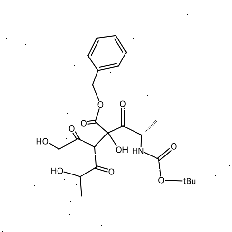 CC(O)C(=O)C(C(=O)CO)C(O)(C(=O)OCc1ccccc1)C(=O)[C@H](C)NC(=O)OC(C)(C)C